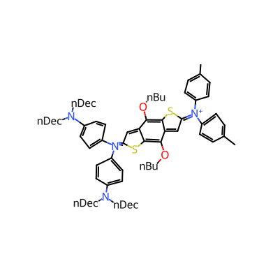 CCCCCCCCCCN(CCCCCCCCCC)c1ccc([N+](=C2C=c3c(OCCCC)c4c(c(OCCCC)c3S2)=CC(=[N+](c2ccc(C)cc2)c2ccc(C)cc2)S4)c2ccc(N(CCCCCCCCCC)CCCCCCCCCC)cc2)cc1